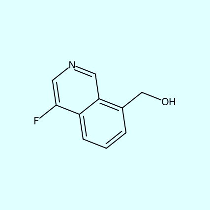 OCc1cccc2c(F)cncc12